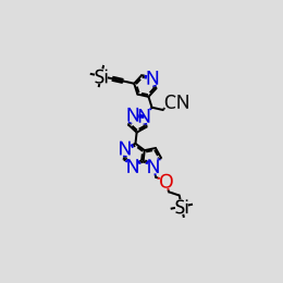 C[Si](C)(C)C#Cc1cncc(C(CC#N)n2cc(-c3ncnc4c3ccn4COCC[Si](C)(C)C)cn2)c1